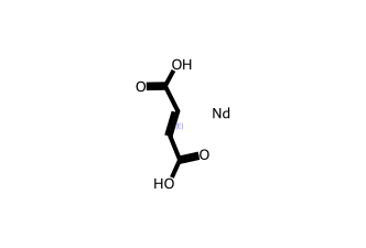 O=C(O)/C=C/C(=O)O.[Nd]